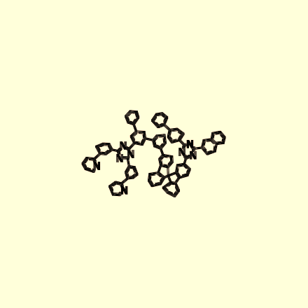 c1ccc(-c2ccc(-c3nc(-c4ccc5c(c4)C4(c6ccccc6-c6cc(-c7cccc(-c8cc(-c9ccccc9)cc(-c9nc(-c%10cccc(-c%11ccccn%11)c%10)nc(-c%10cccc(-c%11ccccn%11)c%10)n9)c8)c7)ccc64)c4ccccc4-5)nc(-c4ccc5ccccc5c4)n3)cc2)cc1